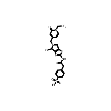 CCS(=O)(=O)c1ccc(CC(=O)Nc2nc3c(s2)CN(Cc2ccn(CC(F)(F)F)c(=O)c2)C3C(C)C)cc1